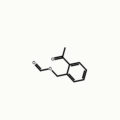 CC(=O)c1ccccc1CO[C]=O